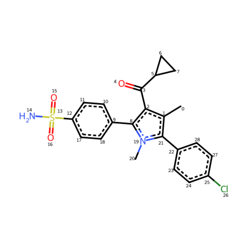 Cc1c(C(=O)C2CC2)c(-c2ccc(S(N)(=O)=O)cc2)n(C)c1-c1ccc(Cl)cc1